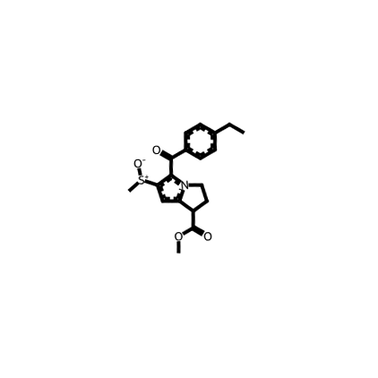 CCc1ccc(C(=O)c2c([S+](C)[O-])cc3n2CCC3C(=O)OC)cc1